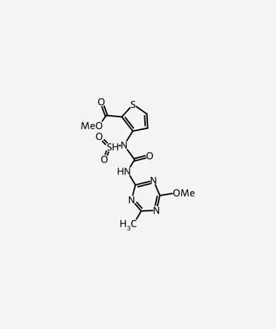 COC(=O)c1sccc1N(C(=O)Nc1nc(C)nc(OC)n1)[SH](=O)=O